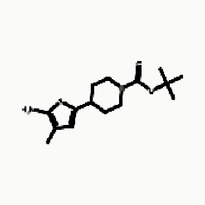 Cc1cc(C2CCN(C(=O)OC(C)(C)C)CC2)sc1N